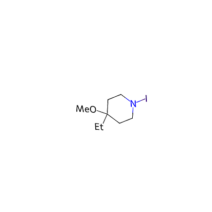 CCC1(OC)CCN(I)CC1